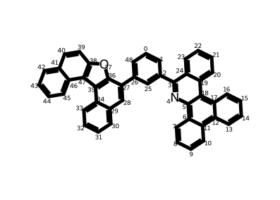 c1cc(-c2nc3c4ccccc4c4ccccc4c3c3ccccc23)cc(-c2cc3ccccc3c3c2oc2ccc4ccccc4c23)c1